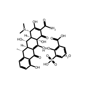 C[C@H]1c2cccc(O)c2C(=O)C2=C(O)[C@]3(O)C(=O)C(C(N)=O)=C(O)[C@@H](N(C)C)[C@@H]3[C@@H](O)[C@@H]21.O.O=C(O)c1cccc(S(=O)(=O)O)c1O